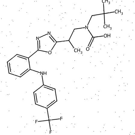 CC(CN(CC(C)(C)C)C(=O)O)c1nnc(-c2ccccc2Nc2ccc(C(F)(F)F)cc2)o1